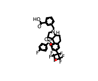 O=C(O)c1cccc(CN2CC[C@@]3(S(=O)(=O)c4ccc(F)cc4)c4ccc(C(F)(C(F)(F)F)C(F)(F)F)cc4CC[C@@H]23)c1